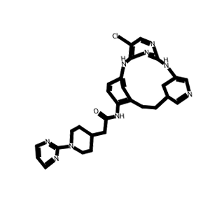 O=C(CC1CCN(c2ncccn2)CC1)Nc1ccc2cc1CCC1C=NC=C(C1)Nc1ncc(Cl)c(n1)N2